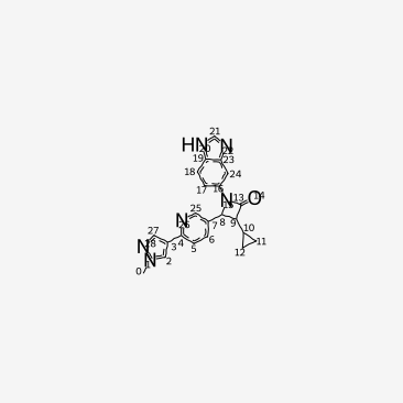 Cn1cc(-c2ccc(C3C(C4CC4)C(=O)N3c3ccc4[nH]cnc4c3)cn2)cn1